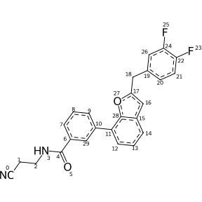 N#CCCNC(=O)c1cccc(-c2cccc3cc(Cc4ccc(F)c(F)c4)oc23)c1